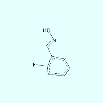 ON=Cc1[c]cccc1F